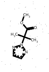 COC(=O)C(C)(C)n1nccn1